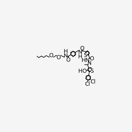 CCCCCCOCCOCCNC(=O)c1ccc(CNC(=O)c2ccc(C(=O)N/N=C(\C)c3csc(-c4ccc(Cl)c(Cl)c4)c3O)s2)cc1